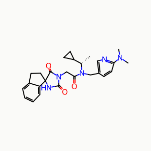 C[C@@H](C1CC1)N(Cc1ccc(N(C)C)nc1)C(=O)CN1C(=O)NC2(CCc3ccccc32)C1=O